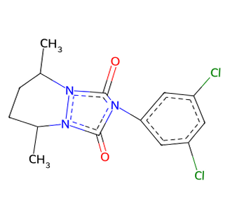 CC1CCC(C)n2c(=O)n(-c3cc(Cl)cc(Cl)c3)c(=O)n21